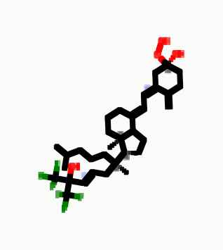 C=C1CC[C@](O)(OO)C/C1=C/C=C1CCC[C@@]2(C)C1CC[C@@H]2[C@@](C)(C/C=C/C(O)(C(F)(F)F)C(F)(F)F)CCCC(C)C